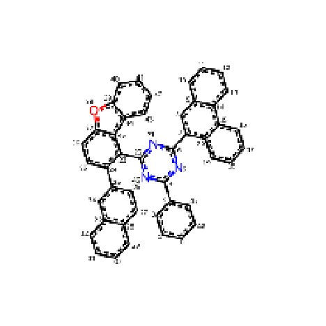 c1ccc(-c2nc(-c3cc4ccccc4c4ccccc34)nc(-c3c(-c4ccc5ccccc5c4)ccc4oc5ccccc5c34)n2)cc1